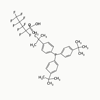 CC(C)(C)c1ccc(P(c2ccc(C(C)(C)C)cc2)c2ccc(C(C)(C)C)cc2)cc1.O=S(=O)(O)C(F)(F)C(F)(F)C(F)(F)C(F)(F)F